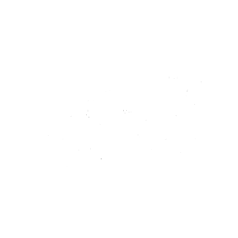 COc1c(-c2cc3c(s2)SCCC3O[Si](C)(C)C(C)(C)C)ccc2c(=O)c(C(=O)O)cn(C3CC3)c12